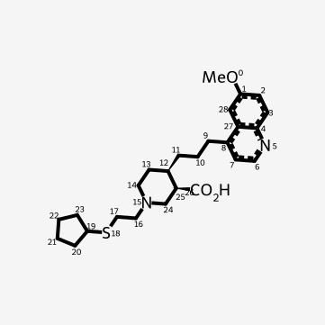 COc1ccc2nccc(CCC[C@@H]3CCN(CCSC4CCCC4)C[C@@H]3C(=O)O)c2c1